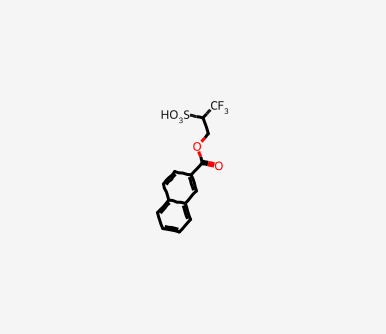 O=C(OCC(C(F)(F)F)S(=O)(=O)O)c1ccc2ccccc2c1